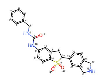 O=C(NCc1ccccc1)Nc1ccc2c(c1)CC(c1ccc3c(c1)CNC3)S2(=O)=O